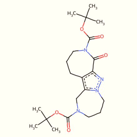 CC(C)(C)OC(=O)N1CCCn2nc3c(c2C1)CCCN(C(=O)OC(C)(C)C)C3=O